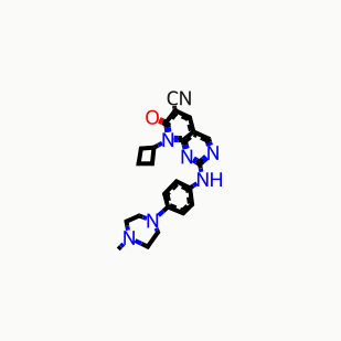 CN1CCN(c2ccc(Nc3ncc4cc(C#N)c(=O)n(C5CCC5)c4n3)cc2)CC1